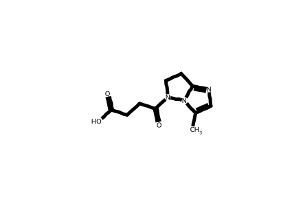 Cc1cnc2n1N(C(=O)CCC(=O)O)CC2